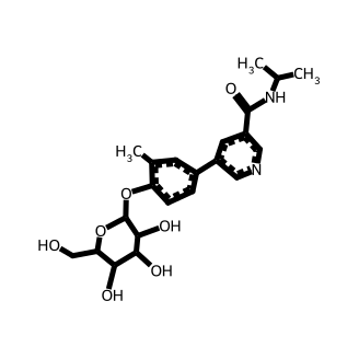 Cc1cc(-c2cncc(C(=O)NC(C)C)c2)ccc1OC1OC(CO)C(O)C(O)C1O